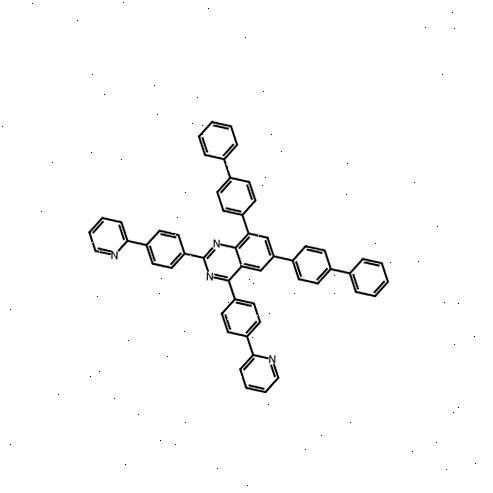 c1ccc(-c2ccc(-c3cc(-c4ccc(-c5ccccc5)cc4)c4nc(-c5ccc(-c6ccccn6)cc5)nc(-c5ccc(-c6ccccn6)cc5)c4c3)cc2)cc1